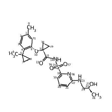 Cc1ccc(C2(C)CC2)c(OC2(C(=O)NS(=O)(=O)c3cccc(NC[C@H](C)O)n3)CC2)c1